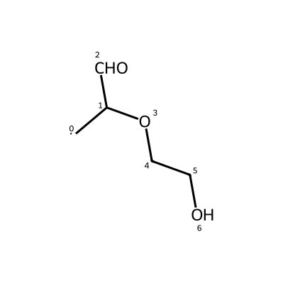 [CH2]C(C=O)OCCO